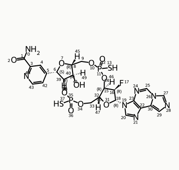 NC(=O)c1cc([C@@H]2O[C@@H]3COP(=O)(S)O[C@H]4[C@@H](F)[C@H](n5cnc6c5ncn5cncc65)O[C@@H]4COP(=O)(S)O[C@@H]2[C@@H]3O)ccn1